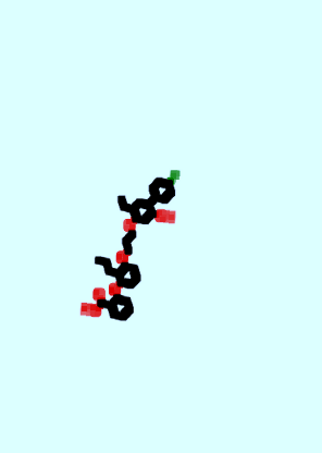 CCCc1c(OCCCOc2cc(O)c(-c3ccc(F)cc3)cc2CC)cccc1Oc1ccccc1C(=O)O